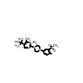 Cc1nc(N2CCN(c3ccc(F)c(S(C)(=O)=O)c3)C[C@H]2C(C)C)ncc1C(C)(C)O